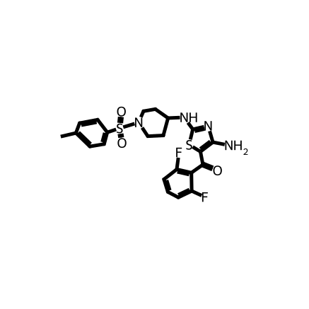 Cc1ccc(S(=O)(=O)N2CCC(Nc3nc(N)c(C(=O)c4c(F)cccc4F)s3)CC2)cc1